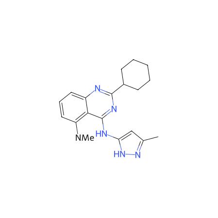 CNc1cccc2nc(C3CCCCC3)nc(Nc3cc(C)n[nH]3)c12